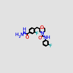 NNC(=O)c1ccc(CC2CN(C(=O)Nc3cccc(F)c3)CCO2)c(F)c1